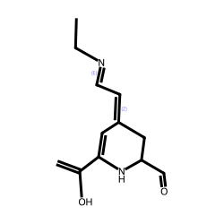 C=C(O)C1=C/C(=C\C=N\CC)CC(C=O)N1